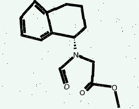 COC(=O)CN(C=O)[C@H]1CCCc2ccccc21